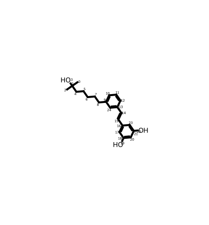 CC(C)(O)CCCCCc1cccc(C=Cc2cc(O)cc(O)c2)c1